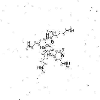 CNCCCCC(NC)C(=O)NC(CCCCNC)C(=O)NC(CCCCNC)C(=O)NC(CCCNC)CC(C)=O